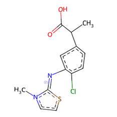 CC(C(=O)O)c1ccc(Cl)c(/N=c2\sccn2C)c1